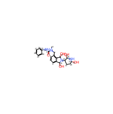 CN(Cc1cccc2c1C(O)N(C1CCC(O)NC1O)C2O)C(=O)Nc1ccccc1